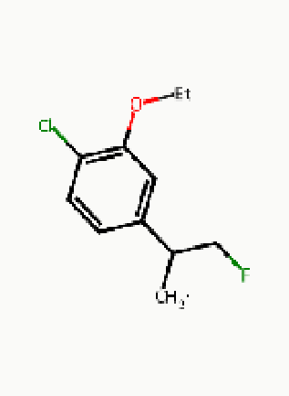 [CH2]C(CF)c1ccc(Cl)c(OCC)c1